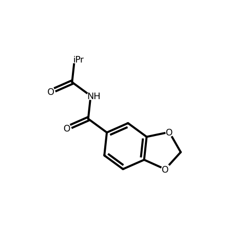 CC(C)C(=O)NC(=O)c1ccc2c(c1)OCO2